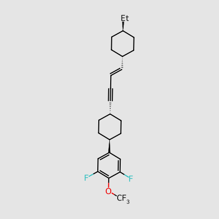 CC[C@H]1CC[C@H](/C=C/C#C[C@H]2CC[C@H](c3cc(F)c(OC(F)(F)F)c(F)c3)CC2)CC1